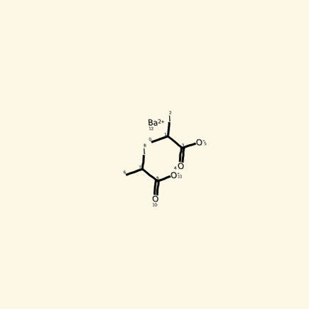 CC(I)C(=O)[O-].CC(I)C(=O)[O-].[Ba+2]